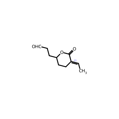 C/C=C1\CCC(CCC=O)OC1=O